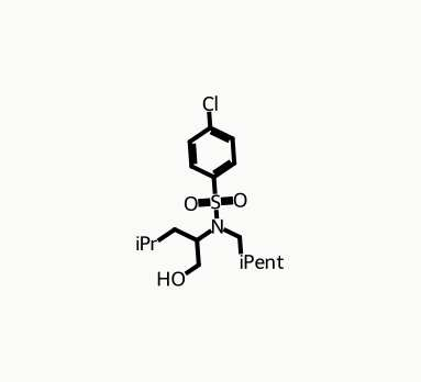 CCCC(C)CN(C(CO)CC(C)C)S(=O)(=O)c1ccc(Cl)cc1